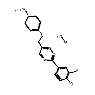 CCCCC[C@H]1CC[C@H](CCc2cnc(-c3ccc(Cl)c(F)c3)nc2)CC1.CCO